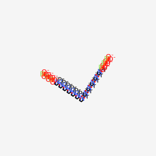 CC(C)[N+]1(C)CCCC1.CC(C)[N+]1(C)CCCC1.CC(C)[N+]1(C)CCCC1.CC(C)[N+]1(C)CCCC1.CC(C)[N+]1(C)CCCC1.CC(C)[N+]1(C)CCCC1.CC(C)[N+]1(C)CCCC1.CC(C)[N+]1(C)CCCC1.CC(C)[N+]1(C)CCCC1.CC(C)[N+]1(C)CCCC1.CC(C)[N+]1(C)CCCC1.CC(C)[N+]1(C)CCCC1.O=P([O-])([O-])F.O=P([O-])([O-])F.O=P([O-])([O-])F.O=P([O-])([O-])F.O=P([O-])([O-])F.O=P([O-])([O-])F